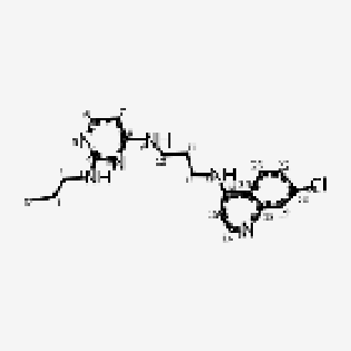 CCCNc1nccc(NCCCNc2ccnc3cc(Cl)ccc23)n1